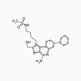 CS(=O)(=O)NCCCCn1c(CO)nc2c(N)nc3cc(-c4ccccc4)ccc3c21